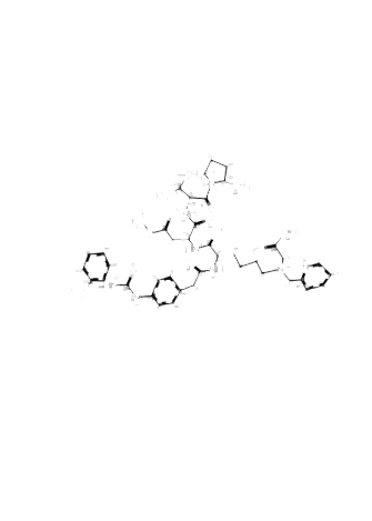 COC(=O)C[C@H](NC(=O)[C@H](CCCCN(CC(=O)O)Cc1ccccn1)NC(=O)Cc1ccc(NC(=O)Nc2ccccc2C)cc1)C(=O)N[C@H](C(=O)N1CCC[C@H]1C)C(C)C